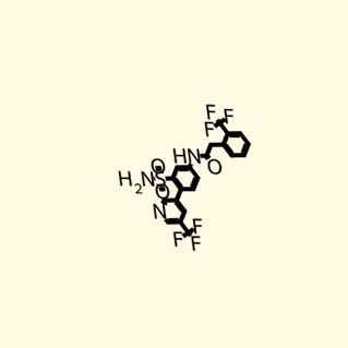 NS(=O)(=O)c1cc(NC(=O)Cc2ccccc2C(F)(F)F)ccc1-c1cncc(C(F)(F)F)c1